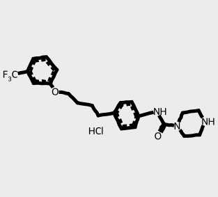 Cl.O=C(Nc1ccc(CCCCOc2cccc(C(F)(F)F)c2)cc1)N1CCNCC1